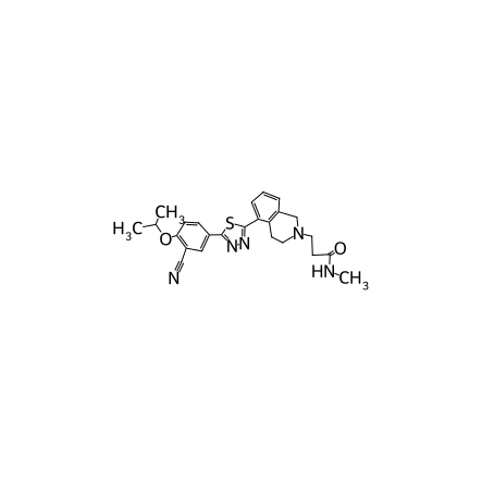 CNC(=O)CCN1CCc2c(cccc2-c2nnc(-c3ccc(OC(C)C)c(C#N)c3)s2)C1